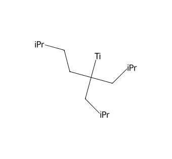 CC(C)CC[C]([Ti])(CC(C)C)CC(C)C